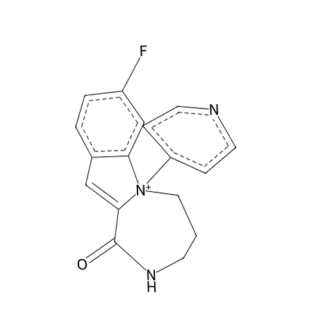 O=C1NCCC[N+]2(c3ccncc3)C1=Cc1ccc(F)cc12